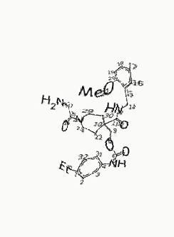 CCc1ccc(NC(=O)OCC2(C(=O)NCc3ccccc3OC)CCN(C(=O)CN)CC2)cc1